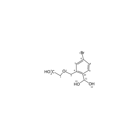 O=C(O)COCc1cc(Br)ccc1C(O)O